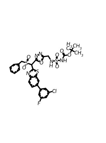 CC(C)(C)OC(=O)NS(=O)(=O)NCc1nnc(C(c2nc3ccc(-c4cc(F)cc(Cl)c4)cc3s2)S(=O)(=O)Cc2ccccc2)o1